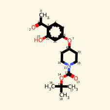 CC(=O)c1ccc(OC2CCN(C(=O)OC(C)(C)C)CC2)cc1O